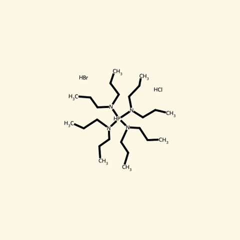 Br.CCCN(CCC)[PH](N(CCC)CCC)(N(CCC)CCC)N(CCC)CCC.Cl